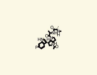 CN[C@@H](C)C(=O)NC(C)C(=O)N1CC[C@@H]2[C@H]1[C@@H](c1c[nH]c3cc(F)ccc13)CN2C(C)=O